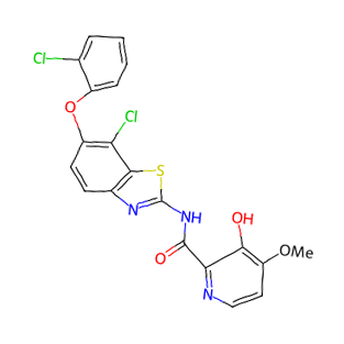 COc1ccnc(C(=O)Nc2nc3ccc(Oc4ccccc4Cl)c(Cl)c3s2)c1O